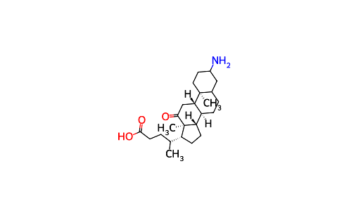 CC(CCC(=O)O)[C@H]1CC[C@H]2[C@@H]3CCC4CC(N)CC[C@]4(C)[C@H]3CC(=O)[C@]12C